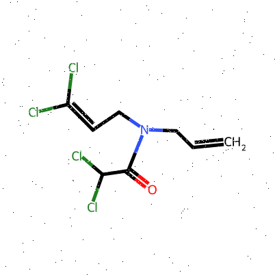 C=CCN(CC=C(Cl)Cl)C(=O)C(Cl)Cl